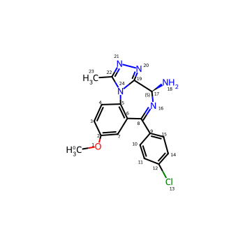 COc1ccc2c(c1)C(c1ccc(Cl)cc1)=N[C@H](N)c1nnc(C)n1-2